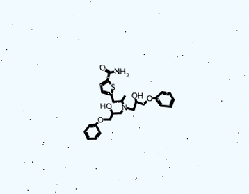 CC(Cc1ccc(C(N)=O)s1)N(CC(O)COc1ccccc1)CC(O)COc1ccccc1